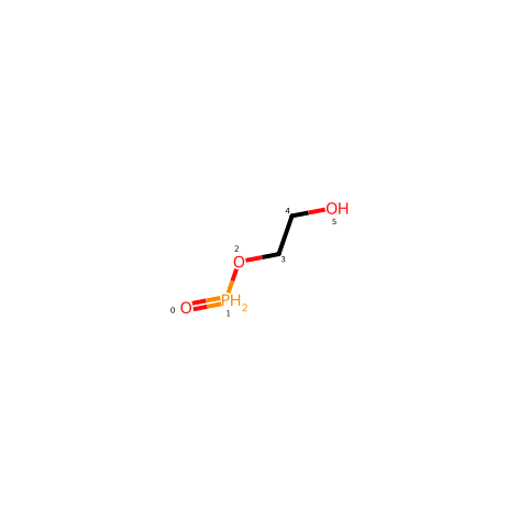 O=[PH2]OCCO